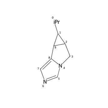 CC(C)C1C2Cn3cncc3C21